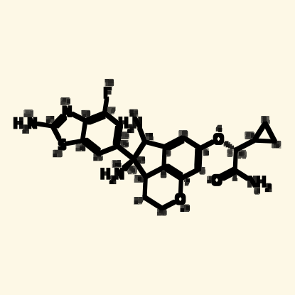 NC(=O)[C@H](Oc1cc2c3c(c1)C(N)[C@@](N)(c1cc(F)c4nc(N)sc4c1)C3CCO2)C1CC1